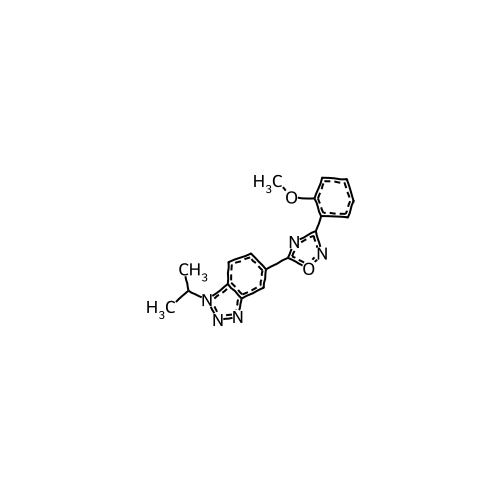 COc1ccccc1-c1noc(-c2ccc3c(c2)nnn3C(C)C)n1